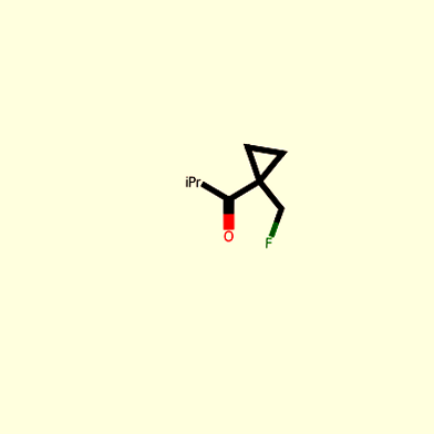 CC(C)C(=O)C1(CF)CC1